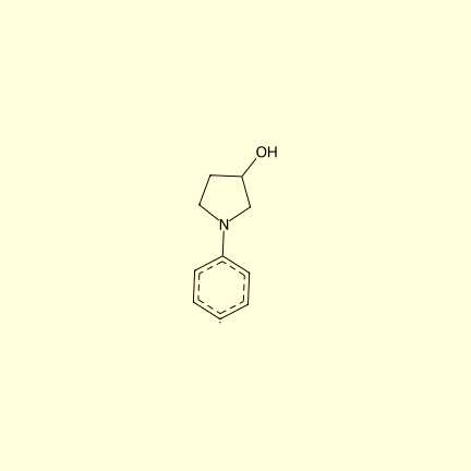 OC1CCN(c2cc[c]cc2)C1